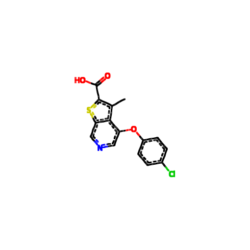 Cc1c(C(=O)O)sc2cncc(Oc3ccc(Cl)cc3)c12